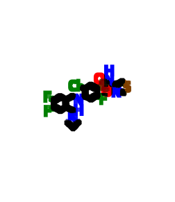 O=S(=O)(Nc1cscn1)c1cc(Cl)c(NCc2cc(F)c(F)cc2CN2CCC2)cc1F